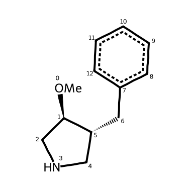 CO[C@@H]1CNC[C@H]1Cc1ccccc1